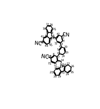 N#Cc1cc(C2=CC(c3cc(C#N)ccc3Cn3c4c(c5ccccc53)C=CCC4)CC=C2)cc(-n2c3ccccc3c3cc(C#N)ccc32)c1